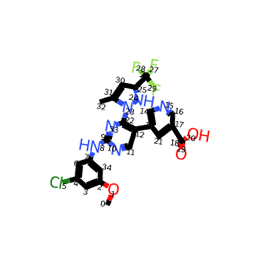 COc1cc(Cl)cc(Nc2ncc(-c3cncc(C(=O)O)c3)c(N3NC(C(F)(F)F)C=C3C)n2)c1